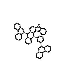 C1=CCC2C(=C1)C(c1cccc(-c3cc4ccccc4c4ccccc34)c1)=c1c(ccc3sc4ccccc4c13)=C2c1cc2ccccc2c2ccccc12